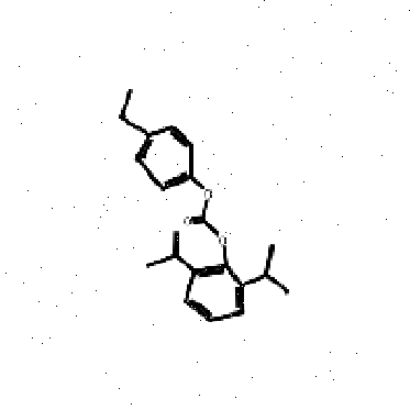 CCc1ccc(OC(=O)Oc2c(C(C)C)cccc2C(C)C)cc1